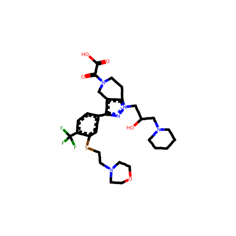 O=C(O)C(=O)N1CCc2c(c(-c3ccc(C(F)(F)F)c(SCCN4CCOCC4)c3)nn2CC(O)CN2CCCCC2)C1